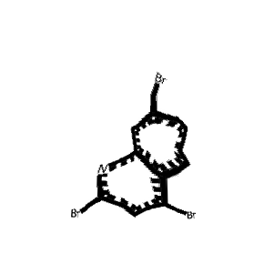 Brc1ccc2c(Br)cc(Br)nc2c1